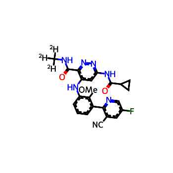 [2H]C([2H])([2H])NC(=O)c1nnc(NC(=O)C2CC2)cc1Nc1cccc(-c2ncc(F)cc2C#N)c1OC